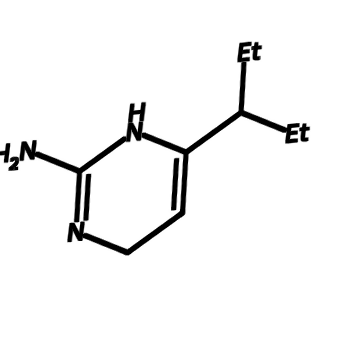 CCC(CC)C1=CCN=C(N)N1